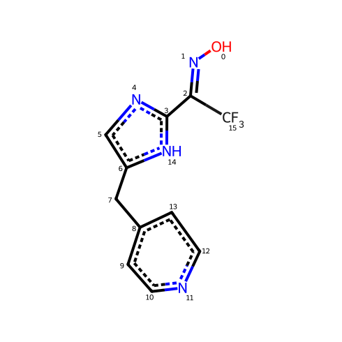 ON=C(c1ncc(Cc2ccncc2)[nH]1)C(F)(F)F